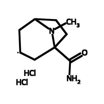 CN1C2C[CH]CC1(C(N)=O)CC2.Cl.Cl